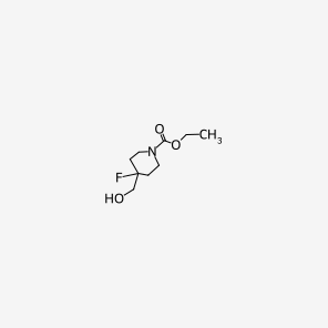 CCOC(=O)N1CCC(F)(CO)CC1